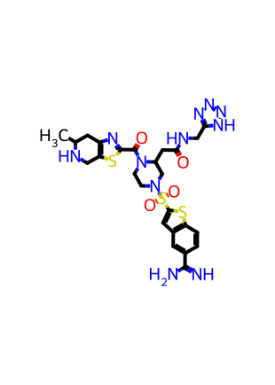 CC1Cc2nc(C(=O)N3CCN(S(=O)(=O)c4cc5cc(C(=N)N)ccc5s4)CC3CC(=O)NCc3nnn[nH]3)sc2CN1